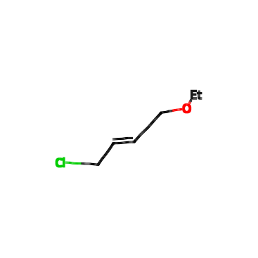 [CH2]COCC=CCCl